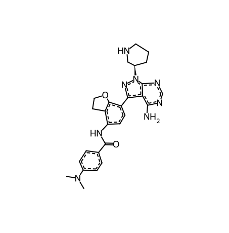 CN(C)c1ccc(C(=O)Nc2ccc(-c3nn([C@@H]4CCCNC4)c4ncnc(N)c34)c3c2CCO3)cc1